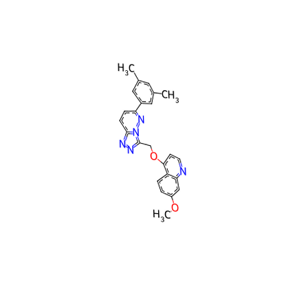 COc1ccc2c(OCc3nnc4ccc(-c5cc(C)cc(C)c5)nn34)ccnc2c1